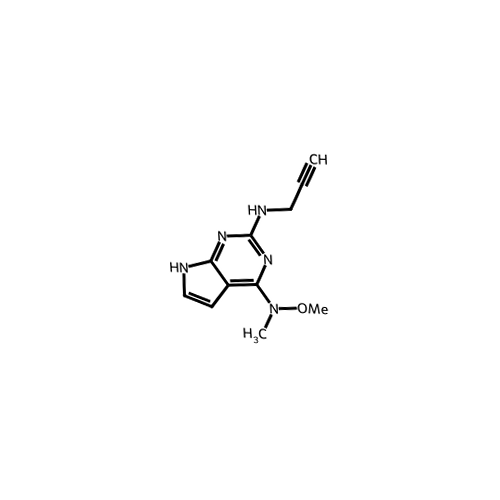 C#CCNc1nc(N(C)OC)c2cc[nH]c2n1